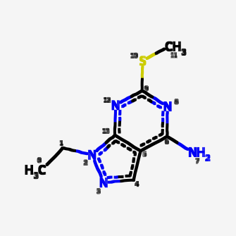 CCn1ncc2c(N)nc(SC)nc21